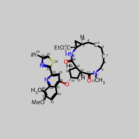 CCOC(=O)[C@@]12C[C@H]1CCCCCCN(C)C(=O)[C@@H]1C[C@H](Oc3cc(-c4nc(C(C)C)cs4)nc4c(C)c(OC)ccc34)C[C@H]1C(=O)N2